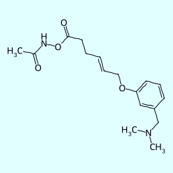 CC(=O)NOC(=O)CCC=CCOc1cccc(CN(C)C)c1